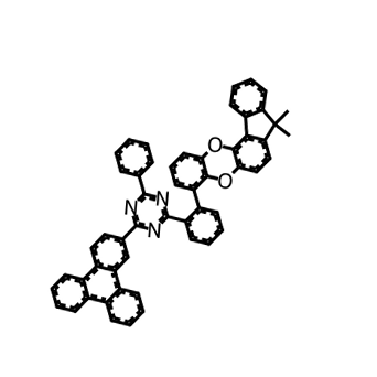 CC1(C)c2ccccc2-c2c1ccc1c2Oc2cccc(-c3ccccc3-c3nc(-c4ccccc4)nc(-c4ccc5c6ccccc6c6ccccc6c5c4)n3)c2O1